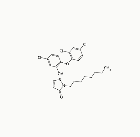 CCCCCCCCn1sccc1=O.Oc1cc(Cl)ccc1Oc1ccc(Cl)cc1Cl